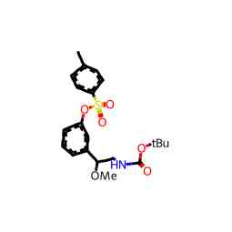 COC(CNC(=O)OC(C)(C)C)c1cccc(OS(=O)(=O)c2ccc(C)cc2)c1